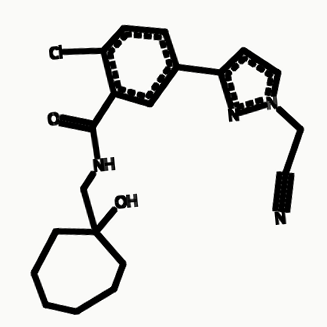 N#CCn1ccc(-c2ccc(Cl)c(C(=O)NCC3(O)CCCCCC3)c2)n1